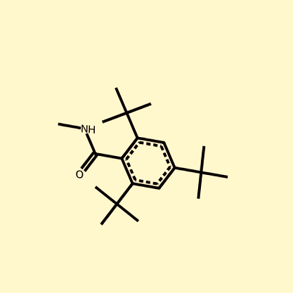 CNC(=O)c1c(C(C)(C)C)cc(C(C)(C)C)cc1C(C)(C)C